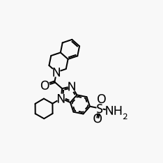 NS(=O)(=O)c1ccc2c(c1)nc(C(=O)N1CCC3CC=CC=C3C1)n2C1CCCCC1